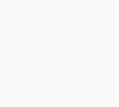 Nc1ccc(C#CCN2CC(c3ccc(C(F)(F)F)cc3C(F)(F)F)CCc3cc(F)ccc32)nn1